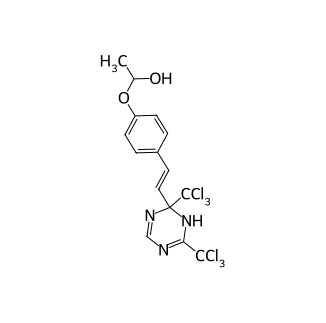 CC(O)Oc1ccc(/C=C/C2(C(Cl)(Cl)Cl)N=CN=C(C(Cl)(Cl)Cl)N2)cc1